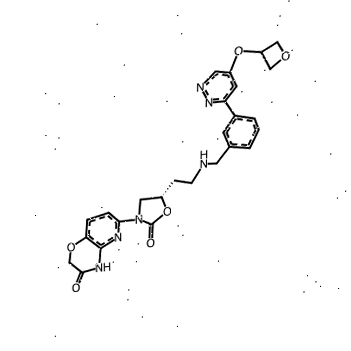 O=C1COc2ccc(N3C[C@H](CCNCc4cccc(-c5cc(OC6COC6)cnn5)c4)OC3=O)nc2N1